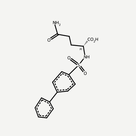 NC(=O)CC[C@@H](NS(=O)(=O)c1ccc(-c2ccccc2)cc1)C(=O)O